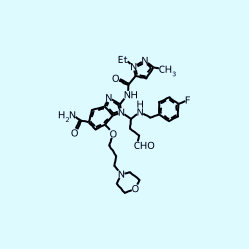 CCn1nc(C)cc1C(=O)Nc1nc2cc(C(N)=O)cc(OCCCN3CCOCC3)c2n1C(CCC=O)NCc1ccc(F)cc1